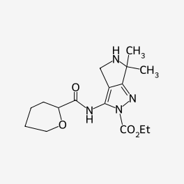 CCOC(=O)n1nc2c(c1NC(=O)C1CCCCO1)CNC2(C)C